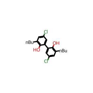 CCCCc1cc(Cl)cc(-c2cc(Cl)cc(CCCC)c2O)c1O